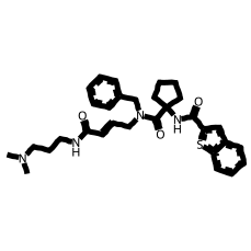 CN(C)CCCNC(=O)C=CCN(Cc1ccccc1)C(=O)C1(NC(=O)c2cc3ccccc3s2)CCCC1